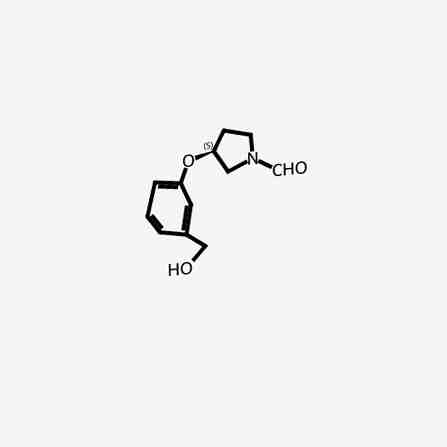 O=CN1CC[C@H](Oc2cccc(CO)c2)C1